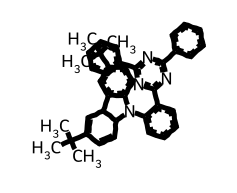 CC(C)(C)C1=CC2c3cc(C(C)(C)C)ccc3N(c3ccccc3-c3nc(-c4ccccc4)nc(-c4ccccc4)n3)C2C=C1